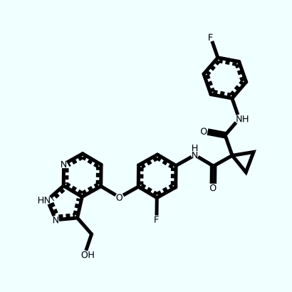 O=C(Nc1ccc(F)cc1)C1(C(=O)Nc2ccc(Oc3ccnc4[nH]nc(CO)c34)c(F)c2)CC1